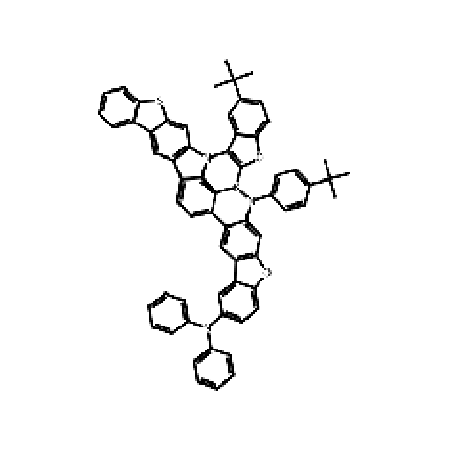 CC(C)(C)c1ccc(N2B3c4oc5ccc(C(C)(C)C)cc5c4-n4c5cc6sc7ccccc7c6cc5c5ccc(c3c54)-c3cc4c(cc32)oc2ccc(N(c3ccccc3)c3ccccc3)cc24)cc1